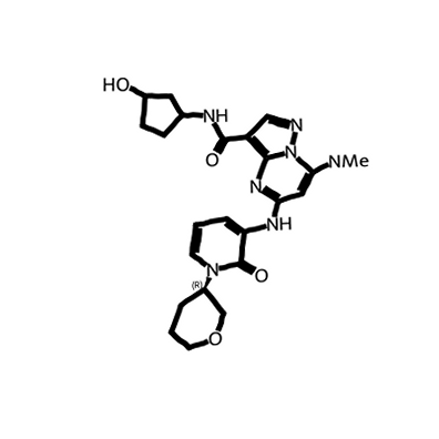 CNc1cc(Nc2cccn([C@@H]3CCCOC3)c2=O)nc2c(C(=O)NC3CCC(O)C3)cnn12